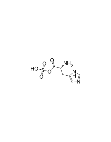 N[C@@H](Cc1cnc[nH]1)C(=O)OS(=O)(=O)O